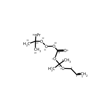 C=CCOC(C)(C)OC(=O)OOOC(C)(C)CCC